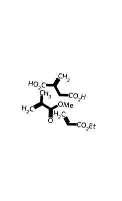 C=C(C)C(=O)OC.C=C(CC(=O)O)C(=O)O.C=CC(=O)OCC